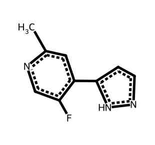 Cc1cc(-c2ccn[nH]2)c(F)cn1